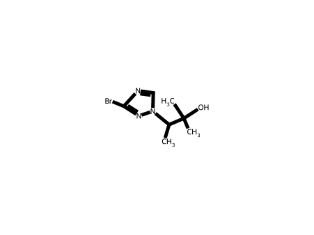 CC(n1cnc(Br)n1)C(C)(C)O